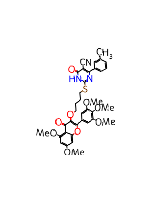 COc1cc(OC)c2c(=O)c(OCCCCSc3nc(-c4cccc(C)c4)c(C#N)c(=O)[nH]3)c(-c3cc(OC)c(OC)c(OC)c3)oc2c1